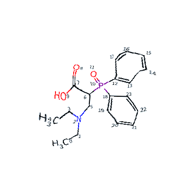 CCN(CC)CC(C(=O)O)P(=O)(c1ccccc1)c1ccccc1